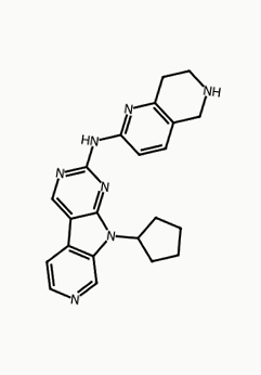 c1cc2c3cnc(Nc4ccc5c(n4)CCNC5)nc3n(C3CCCC3)c2cn1